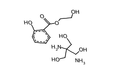 N.NC(CO)(CO)CO.O=C(OCCO)c1ccccc1O